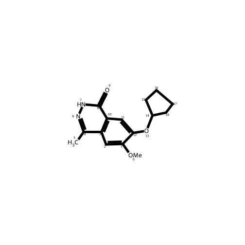 COc1cc2c(C)n[nH]c(=O)c2cc1OC1CCCC1